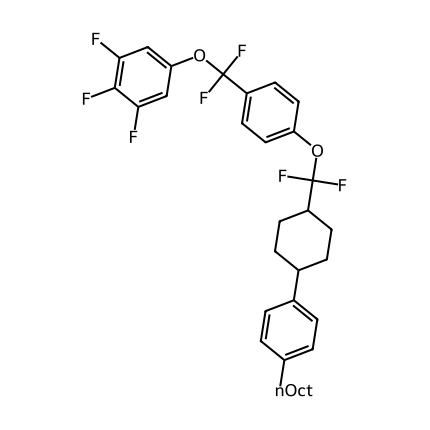 CCCCCCCCc1ccc(C2CCC(C(F)(F)Oc3ccc(C(F)(F)Oc4cc(F)c(F)c(F)c4)cc3)CC2)cc1